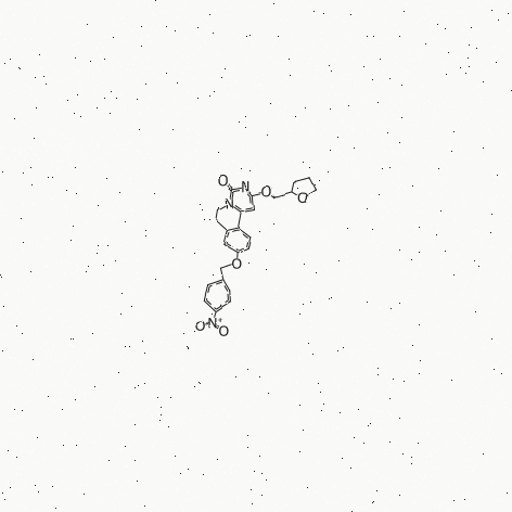 O=c1nc(OCC2CCCO2)cc2n1CCc1cc(OCc3ccc([N+](=O)[O-])cc3)ccc1-2